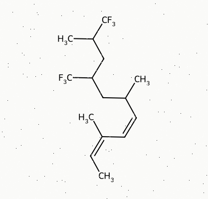 C/C=C(C)\C=C/C(C)CC(CC(C)C(F)(F)F)C(F)(F)F